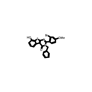 COc1ccc(-c2nc3sc4c(O)cccc4c3c(=O)n2Cc2ccccc2)c(Br)c1